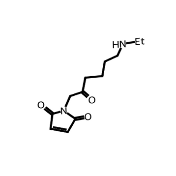 CCNCCCCC(=O)CN1C(=O)C=CC1=O